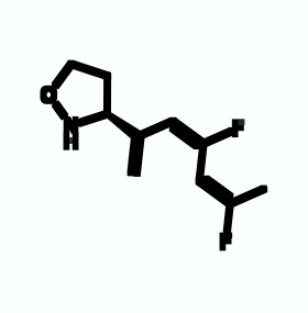 C=C(/C=C(F)\C=C(/C)F)[C@@H]1CCON1